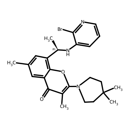 Cc1cc([C@@H](C)Nc2cccnc2Br)c2oc(N3CCC(C)(C)CC3)c(C)c(=O)c2c1